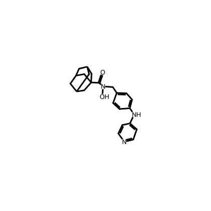 O=C(N(O)Cc1ccc(Nc2ccncc2)cc1)C12CC3CC(CC(C3)C1)C2